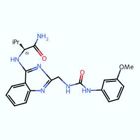 COc1cccc(NC(=O)NCc2nc(N[C@H](C(N)=O)C(C)C)c3ccccc3n2)c1